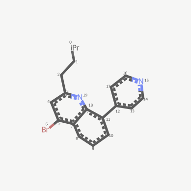 CC(C)CCc1cc(Br)c2cccc(-c3ccncc3)c2n1